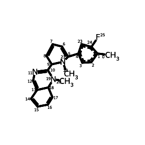 Cc1ccc(C2=CC=CC(C3=NC=C4C=CC=CC4N3C)N2C)cc1F